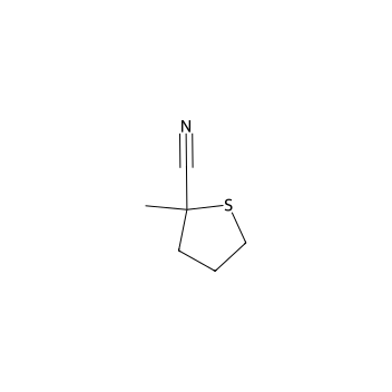 CC1(C#N)CCCS1